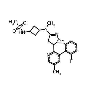 Cc1cnc(C2CC(N(C)C3CC(NS(C)(=O)=O)C3)=NO2)c(-c2c(F)cccc2F)c1